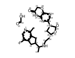 Cc1ncc(F)c2c1CC(C(C)NCC[C@@H]1CN(c3cnc4c(n3)NC(=O)CO4)C(=O)O1)C2.O=CO